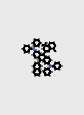 CC1CC=CC2=C1C=C(c1c3cc(N(C4=CC=CCC4)c4ccccc4)ccc3c(-c3ccc4ccccc4c3)c3cc(N(c4ccccc4)c4ccccc4)ccc13)CC2(C)C